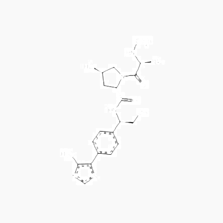 Cc1ncsc1-c1ccc([C@H](CO)NC(=O)[C@@H]2C[C@@H](O)CN2C(=O)[C@@H](NC(=O)O)C(C)(C)C)cc1